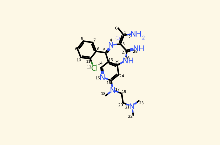 C/C(N)=C1\N=C(c2ccccc2Cl)c2cnc(N(C)CCN(C)C)cc2NC1=N